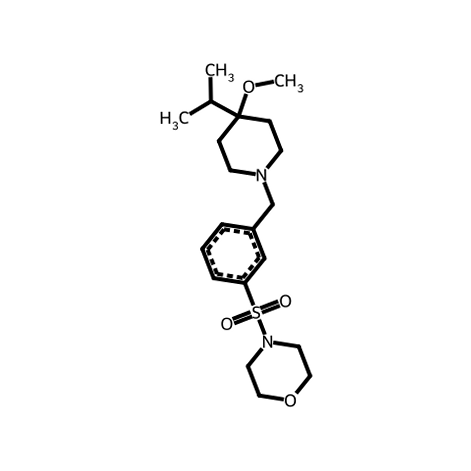 COC1(C(C)C)CCN(Cc2cccc(S(=O)(=O)N3CCOCC3)c2)CC1